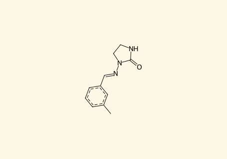 Cc1cccc(C=NN2CCNC2=O)c1